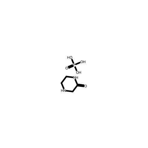 O=C1CNCCN1.O=P(O)(O)O